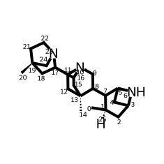 C[C@@H]1CC2CC(N2)C1C1CN2CC[C@@]1(C)CC2C1C[C@]2(C)CCN1C2